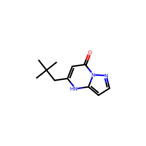 CC(C)(C)Cc1cc(=O)n2nccc2[nH]1